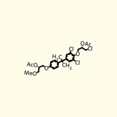 COC[C@@H](COc1ccc(C(C)(C)c2cc(Cl)c(OC[C@@H](CCl)OC(C)=O)c(Cl)c2)cc1)OC(C)=O